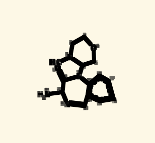 CN1CCOCC1N1C(=O)C(N)N=Cc2ccccc21